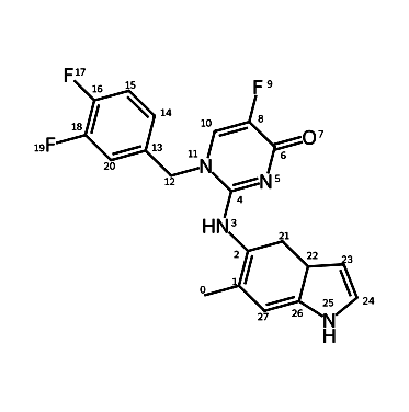 CC1=C(Nc2nc(=O)c(F)cn2Cc2ccc(F)c(F)c2)CC2C=CNC2=C1